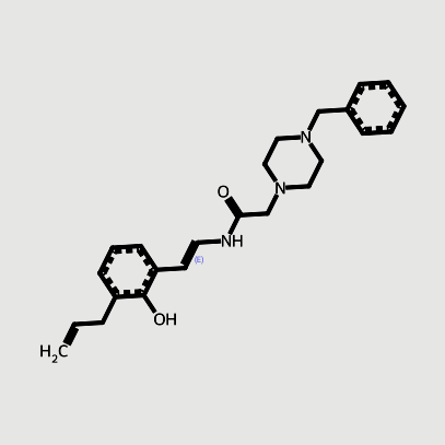 C=CCc1cccc(/C=C/NC(=O)CN2CCN(Cc3ccccc3)CC2)c1O